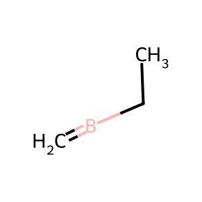 C=BCC